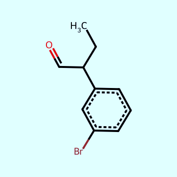 CCC(C=O)c1cccc(Br)c1